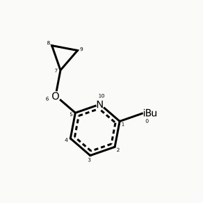 CCC(C)c1cccc(OC2CC2)n1